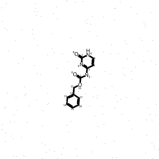 O=C([N]c1cc[nH]c(=O)n1)OCc1ccccc1